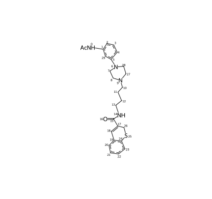 CC(=O)Nc1cccc(N2CCN(CCCCNC(=O)C3=Cc4ccccc4SC3)CC2)c1